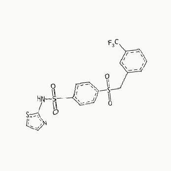 O=S(=O)(Cc1cccc(C(F)(F)F)c1)c1ccc(S(=O)(=O)Nc2nccs2)cc1